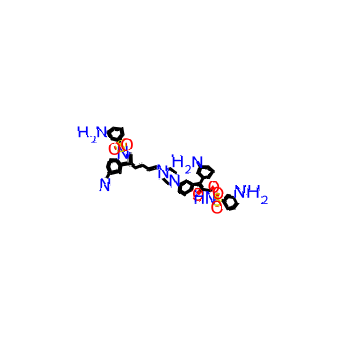 N#Cc1ccc2c(c1)c(CCCCN1CCN(c3ccc4oc(C(=O)NS(=O)(=O)c5cccc(N)c5)c(-c5cccc(N)c5)c4c3)CC1)cn2S(=O)(=O)c1cccc(N)c1